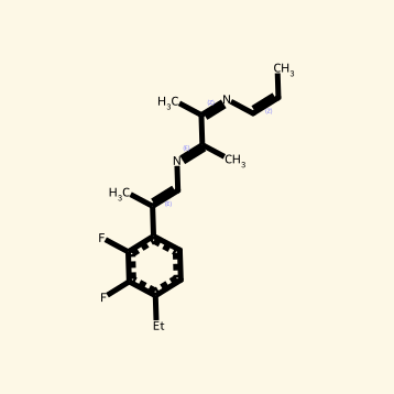 C\C=C/N=C(C)\C(C)=N\C=C(/C)c1ccc(CC)c(F)c1F